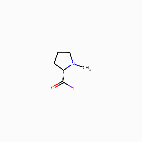 CN1CCC[C@H]1C(=O)I